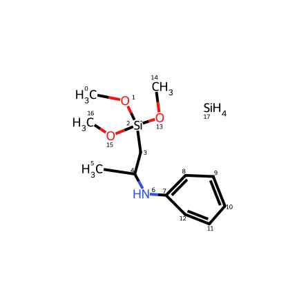 CO[Si](CC(C)Nc1ccccc1)(OC)OC.[SiH4]